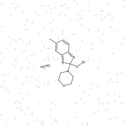 CCSC1(N2CCOCC2)N=c2ccc(C)cc2=N1.Cl.Cl